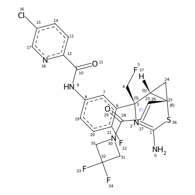 NC1=N[C@](CF)(c2cc(NC(=O)c3ccc(Cl)cn3)ccc2F)[C@@H]2C[C@]2(/C=C/C(=O)N2CC(F)(F)C2)S1